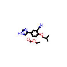 CC(C)COc1ccc(-c2c[nH]cn2)cc1C#N.CCOC=O